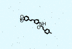 Cc1ccc(/C=C/C(=O)Nc2ccc(/C=C/c3ccc4c(c3)OCO4)cc2)cc1